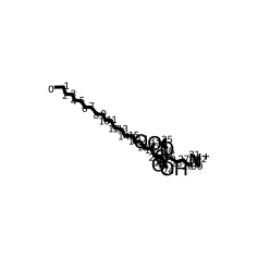 CCCCCCCCCCCCCCCCCOCC(COP(=O)(O)CCCC[N+](C)(C)C)OC(C)=O